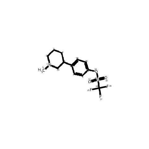 CN1CCCC(c2ccc(OS(=O)(=O)C(F)(F)F)cc2)C1